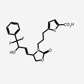 O=C(O)c1ccc(CCCN2C(=O)OCC2/C=C/C(O)C(F)(F)c2ccccc2)s1